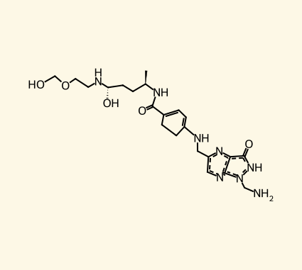 C[C@H](CC[C@H](O)NCCOCO)NC(=O)C1=CC=C(NCc2cnc3c(n2)c(=O)[nH]n3CN)CC1